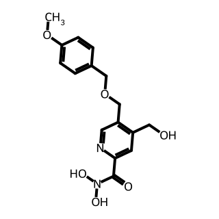 COc1ccc(COCc2cnc(C(=O)N(O)O)cc2CO)cc1